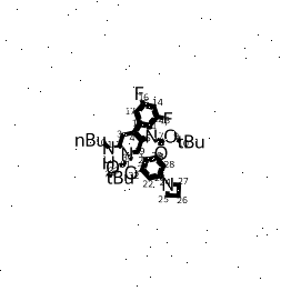 CCCCN[C@H]1Cc2c(n(C(=O)OC(C)(C)C)c3c(F)cc(F)cc23)[C@H](c2ccc(N3CCC3)cc2)N1C(=O)OC(C)(C)C